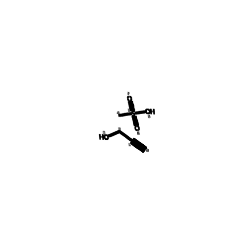 C#CCO.CS(=O)(=O)O